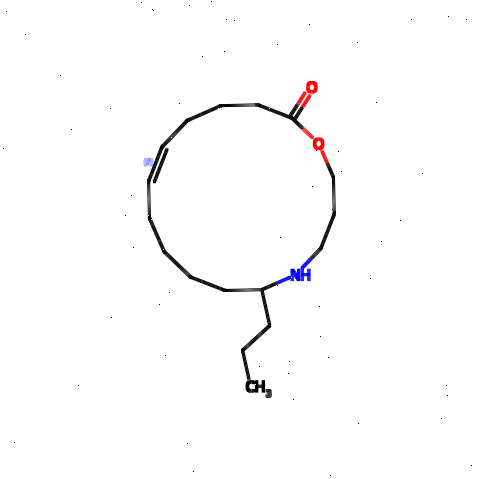 CCCC1CCCC/C=C\CCCC(=O)OCCCN1